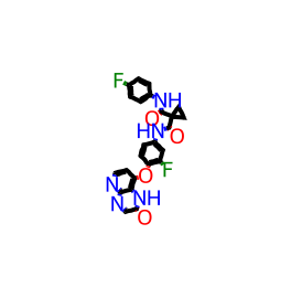 O=C(Nc1ccc(F)cc1)C1(C(=O)Nc2ccc(Oc3ccnc4ncc(=O)[nH]c34)c(F)c2)CC1